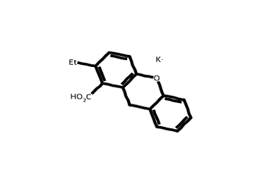 CCc1ccc2c(c1C(=O)O)Cc1ccccc1O2.[K]